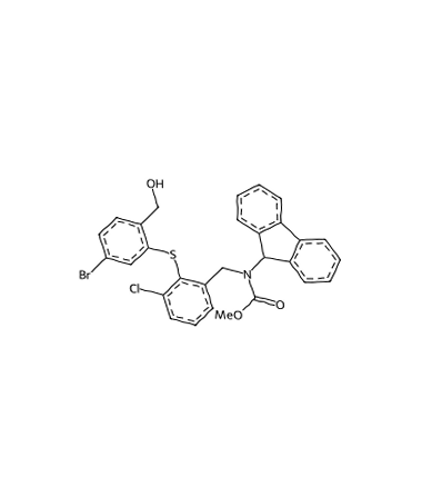 COC(=O)N(Cc1cccc(Cl)c1Sc1cc(Br)ccc1CO)C1c2ccccc2-c2ccccc21